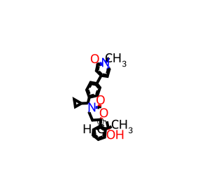 Cn1ccc(-c2ccc(C(C3CC3)N3CC[C@](CC(C)(C)O)(c4ccccc4)OC3=O)cc2)cc1=O